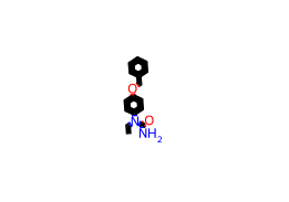 CCN(C(N)=O)c1ccc(OCc2ccccc2)cc1